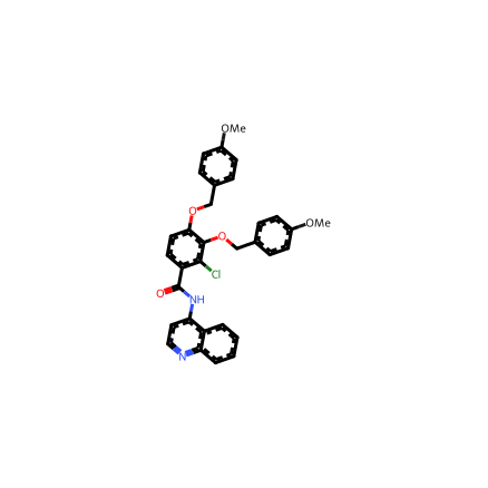 COc1ccc(COc2ccc(C(=O)Nc3ccnc4ccccc34)c(Cl)c2OCc2ccc(OC)cc2)cc1